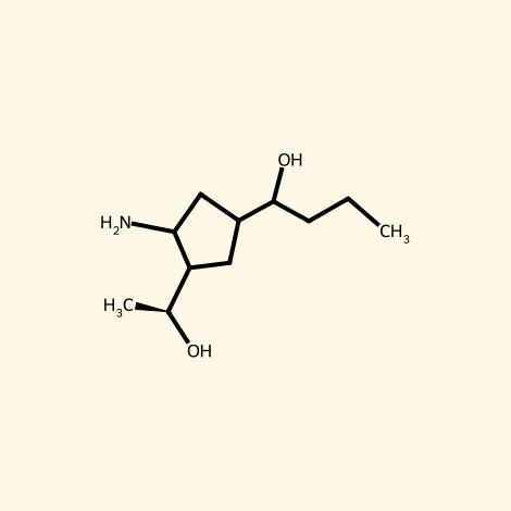 CCCC(O)C1CC(N)C([C@H](C)O)C1